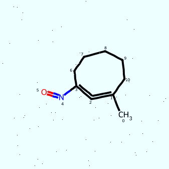 CC1=C=C(N=O)CCCCC1